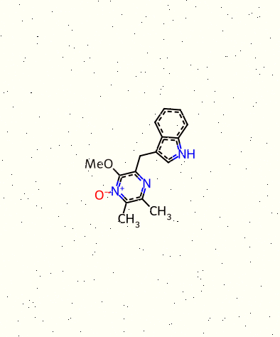 COc1c(Cc2c[nH]c3ccccc23)nc(C)c(C)[n+]1[O-]